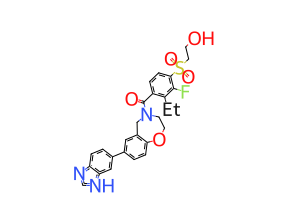 CCc1c(C(=O)N2CCOc3ccc(-c4ccc5nc[nH]c5c4)cc3C2)ccc(S(=O)(=O)CCO)c1F